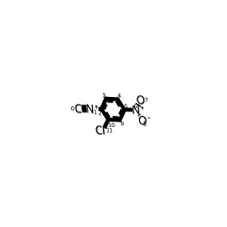 [C-]#[N+]c1ccc([N+](=O)[O-])cc1Cl